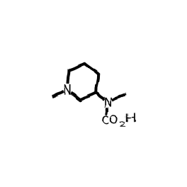 CN1CCCC(N(C)C(=O)O)C1